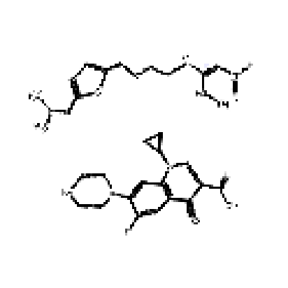 CN/C(=C\[N+](=O)[O-])NCCSCc1ccc(CN(C)C)o1.O=C(O)c1cn(C2CC2)c2cc(N3CCNCC3)c(F)cc2c1=O